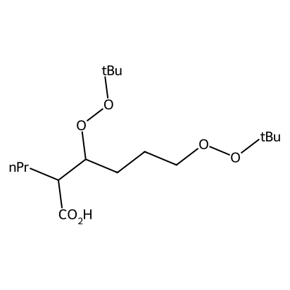 CCCC(C(=O)O)C(CCCOOC(C)(C)C)OOC(C)(C)C